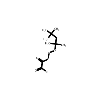 CC(C)(C)CC(C)(C)OOOC(=O)C(=O)Cl